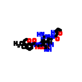 CC1(C)CCOc2c(C(=O)N[C@H]3CN4C(=N)N[C@@H](CNC(=O)c5ccco5)[C@@H]5NC(=N)N[C@@]54C3(O)O)cccc21